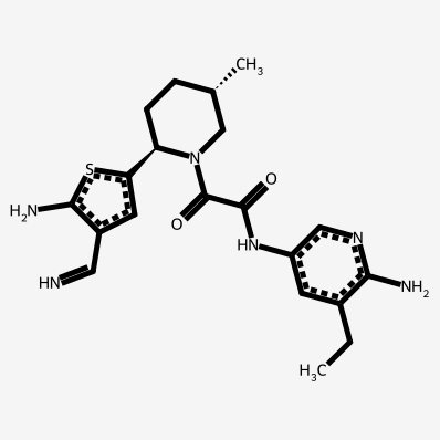 CCc1cc(NC(=O)C(=O)N2C[C@@H](C)CC[C@@H]2c2cc(C=N)c(N)s2)cnc1N